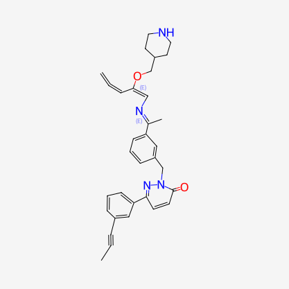 C=C=C/C(=C\N=C(/C)c1cccc(Cn2nc(-c3cccc(C#CC)c3)ccc2=O)c1)OCC1CCNCC1